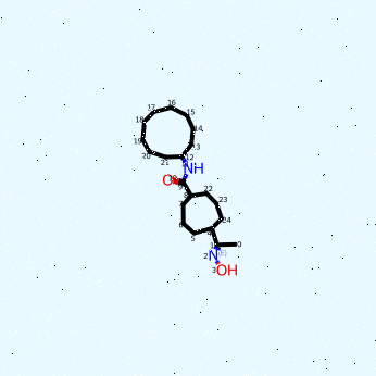 C/C(=N\O)C1CCCC(C(=O)NC2CCCCCCCCC2)CCC1